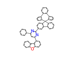 c1ccc(-c2cc(-c3cccc4oc5ccccc5c34)nc(-c3ccc4c(c3)-c3ccccc3C43c4ccccc4-c4ccccc4-c4ccccc43)n2)cc1